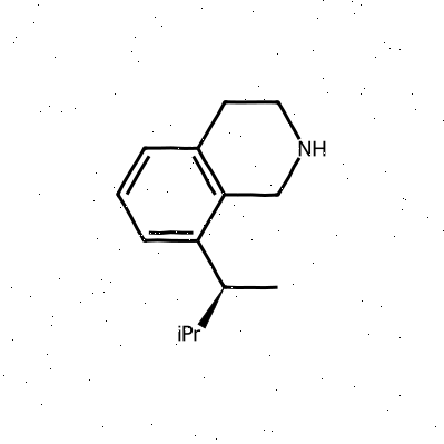 CC(C)[C@H](C)c1cccc2c1CNCC2